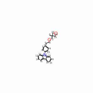 CC1(COCCc2ccc(-n3c4ccccc4c4ccccc43)cc2)COC1